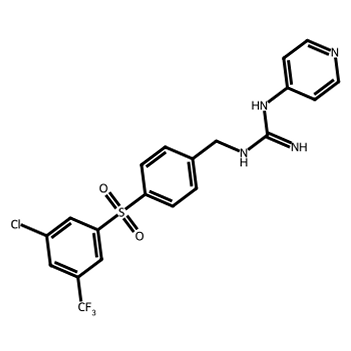 N=C(NCc1ccc(S(=O)(=O)c2cc(Cl)cc(C(F)(F)F)c2)cc1)Nc1ccncc1